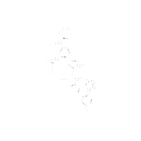 COC(=O)Nc1ccc2c(c1)NC(=O)CCCCCC(NC(=O)C=Cc1cc(Cl)ccc1-n1cnnn1)c1nc-2c[nH]1